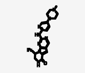 CC(C)C1CNC(=O)c2cc3cnc(Nc4ccc(N5CCN(C)CC5)cn4)nc3n21